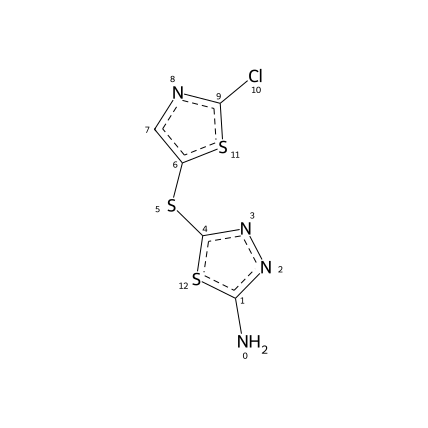 Nc1nnc(Sc2cnc(Cl)s2)s1